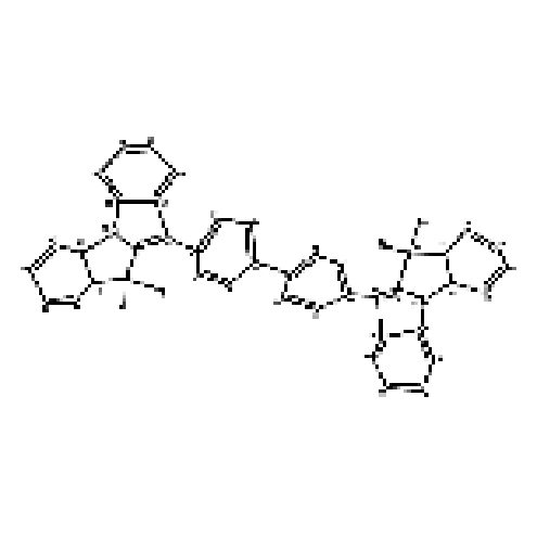 CC1(C)c2c(-c3ccc(-c4ccc(-c5c6n(c7ccccc57)C5C=CC=CC5C6(C)C)cc4)cc3)c3ccccc3n2C2C=CC=CC21